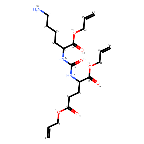 C=CCOC(=O)CCC(NC(=O)NC(CCCCN)C(=O)OCC=C)C(=O)OCC=C